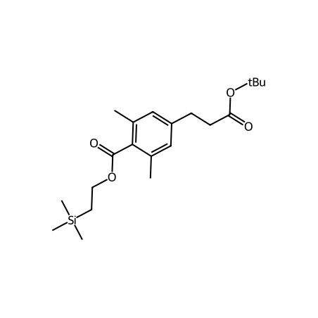 Cc1cc(CCC(=O)OC(C)(C)C)cc(C)c1C(=O)OCC[Si](C)(C)C